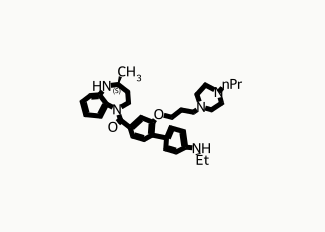 CCCN1CCN(CCCOc2cc(C(=O)N3CC[C@H](C)Nc4ccccc43)ccc2-c2ccc(NCC)cc2)CC1